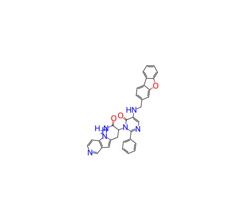 NC(=O)C(Cc1cc2cnccc2[nH]1)n1c(-c2ccccc2)ncc(NCc2ccc3c(c2)oc2ccccc23)c1=O